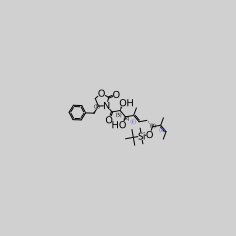 C/C=C(/C)[C@@H](C/C=C(\C)[C@@H](O)[C@H](O)C(=O)N1C(=O)OC[C@@H]1Cc1ccccc1)O[Si](C)(C)C(C)(C)C